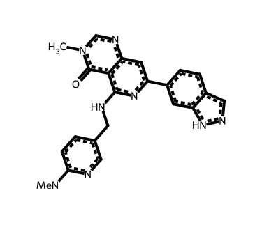 CNc1ccc(CNc2nc(-c3ccc4cn[nH]c4c3)cc3ncn(C)c(=O)c23)cn1